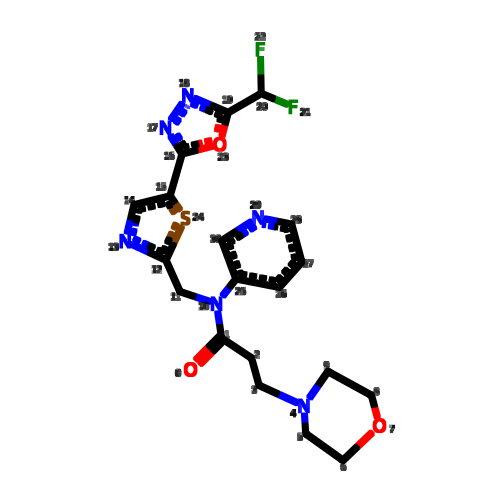 O=C(CCN1CCOCC1)N(Cc1ncc(-c2nnc(C(F)F)o2)s1)c1cccnc1